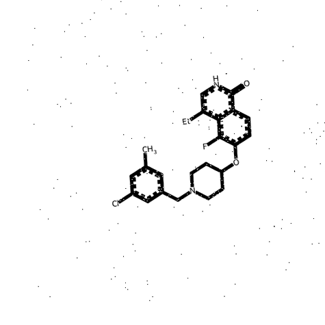 CCc1c[nH]c(=O)c2ccc(OC3CCN(Cc4cc(C)cc(Cl)c4)CC3)c(F)c12